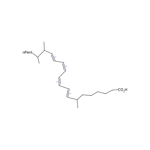 CCCCCC(C)C(C)/C=C/C=C\C=C/C=C/C(C)CCCCCC(=O)O